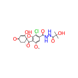 COc1cc(C(=O)NNC(=O)C(C)(C)O)c(Cl)c2c1C(=O)[C@@]1(O2)C(O)=CC(=O)C[C@H]1C